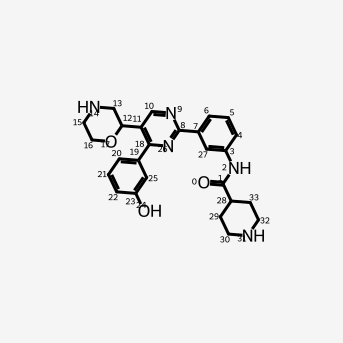 O=C(Nc1cccc(-c2ncc(C3CNCCO3)c(-c3cccc(O)c3)n2)c1)C1CCNCC1